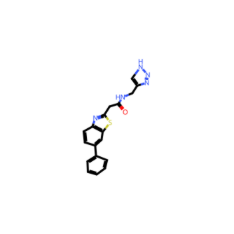 O=C(Cc1nc2ccc(-c3ccccc3)cc2s1)NCc1c[nH]nn1